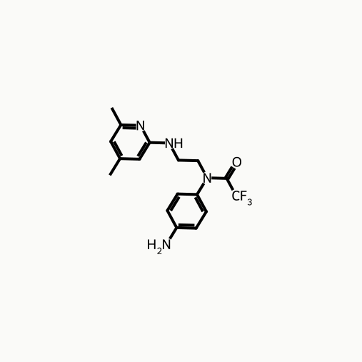 Cc1cc(C)nc(NCCN(C(=O)C(F)(F)F)c2ccc(N)cc2)c1